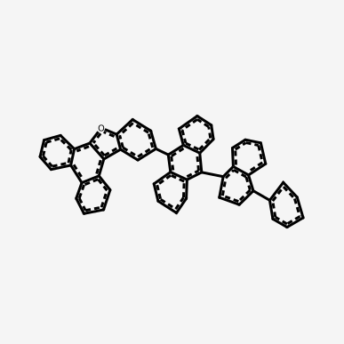 c1ccc(-c2ccc(-c3c4ccccc4c(-c4ccc5oc6c7ccccc7c7ccccc7c6c5c4)c4ccccc34)c3ccccc23)cc1